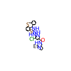 CCN1CCCC1CNC(=O)c1cnc(NNC(=S)NC2c3ccccc3CSc3ccccc32)c(Cl)c1